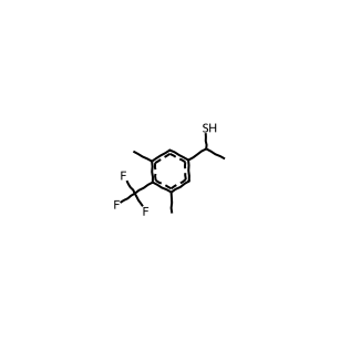 Cc1cc(C(C)S)cc(C)c1C(F)(F)F